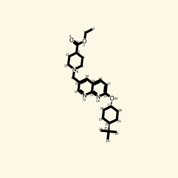 CCOC(=O)C1CCN(Cc2cnc3nc(O[C@H]4CC[C@H](C(C)(C)C)CC4)ccc3c2)CC1